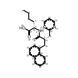 CCCC[C@H](NC(=S)[C@H](Cc1ncccn1)Cc1cccc2ccccc12)C(=O)O